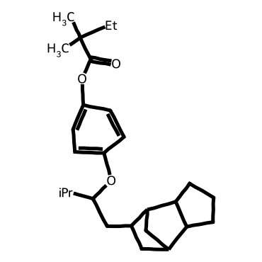 CCC(C)(C)C(=O)Oc1ccc(OC(CC2CC3CC2C2CCCC32)C(C)C)cc1